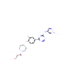 Cc1cc(-c2ncnc(Nc3cnn(C(C)(C)C)c3)n2)ccc1O[C@H]1CCN(C(=O)[C@@H](O)CO)C[C@H]1F